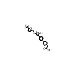 O=C(O)C[C@H]1CC[C@H](c2ccc(-c3cc(OCc4ccc(C(F)(F)F)o4)n[nH]3)cc2)CC1